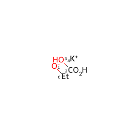 CC[O-].O=C(O)O.[K+]